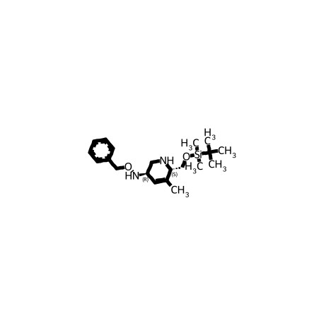 CC1=C[C@@H](NOCc2ccccc2)CN[C@@H]1CO[Si](C)(C)C(C)(C)C